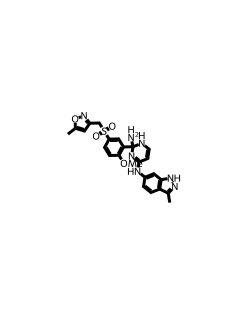 COc1ccc(S(=O)(=O)Cc2cc(C)on2)cc1C1(N)N=C(Nc2ccc3c(C)n[nH]c3c2)C=CN1